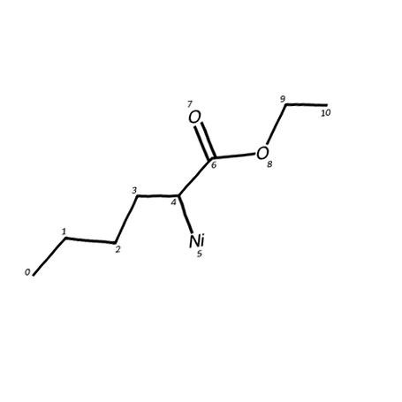 CCCC[CH]([Ni])C(=O)OCC